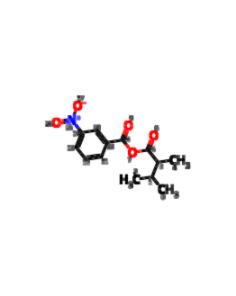 CC(C)C(C)C(=O)OC(=O)c1cccc([N+](=O)[O-])c1